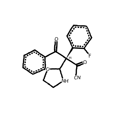 N#CC(=O)[C@](C(=O)c1ccccc1)(c1ccccc1F)C1NCCO1